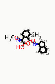 CO/N=C(/C(=O)O)c1cccc(C)c1CO/N=C1\CCc2ccccc21